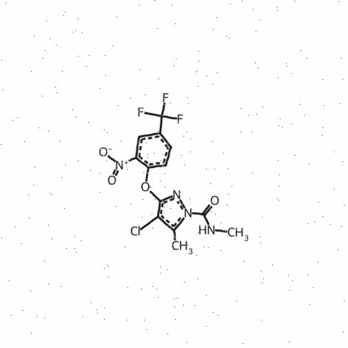 CNC(=O)n1nc(Oc2ccc(C(F)(F)F)cc2[N+](=O)[O-])c(Cl)c1C